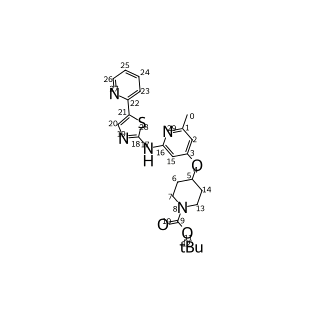 Cc1cc(OC2CCN(C(=O)OC(C)(C)C)CC2)cc(Nc2ncc(-c3ccccn3)s2)n1